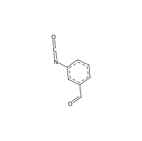 O=C=Nc1cccc(C=O)c1